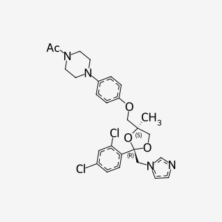 CC(=O)N1CCN(c2ccc(OC[C@@]3(C)CO[C@](Cn4ccnc4)(c4ccc(Cl)cc4Cl)O3)cc2)CC1